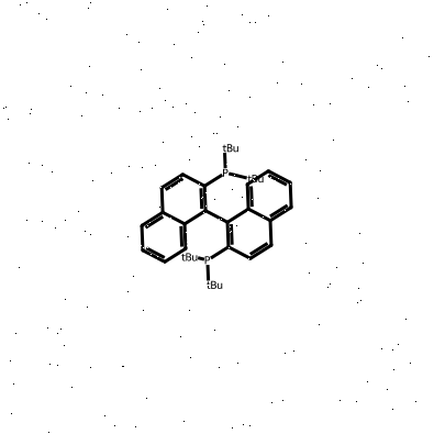 CC(C)(C)P(c1ccc2ccccc2c1-c1c(P(C(C)(C)C)C(C)(C)C)ccc2ccccc12)C(C)(C)C